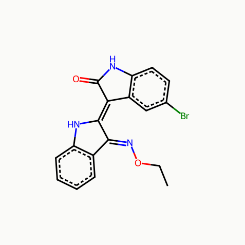 CCO/N=C1/C(=C2/C(=O)Nc3ccc(Br)cc32)Nc2ccccc21